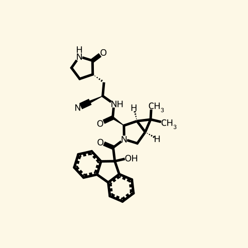 CC1(C)[C@@H]2[C@H](C(=O)N[C@@H](C#N)C[C@@H]3CCNC3=O)N(C(=O)C3(O)c4ccccc4-c4ccccc43)C[C@@H]21